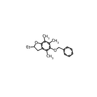 C[CH]C1Cc2c(C)c(OCc3ccccc3)c(C)c(C)c2O1